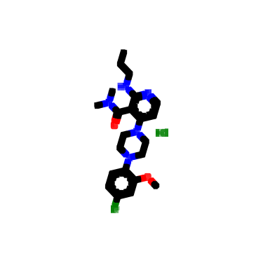 CCCNc1nccc(N2CCN(c3ccc(Br)cc3OC)CC2)c1C(=O)N(C)C.Cl